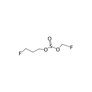 O=S(OCF)OCCCF